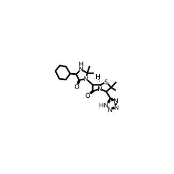 CC1(C)S[C@@H]2C(N3C(=O)C(C4CCCCC4)NC3(C)C)C(=O)N2C1c1nnn[nH]1